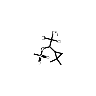 CC1(C)CC1C(OS(C)(=O)=O)C(Cl)(Cl)C(F)(F)F